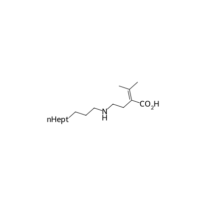 CCCCCCCCCCNCCC(C(=O)O)=C(C)C